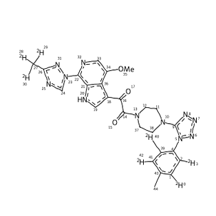 [2H]c1c([2H])c(-n2nnnc2N2CCN(C(=O)C(=O)c3c[nH]c4c(-n5cnc(C([2H])([2H])[2H])n5)ncc(OC)c34)CC2)c([2H])c([2H])c1C